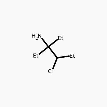 CCC(Cl)C(N)(CC)CC